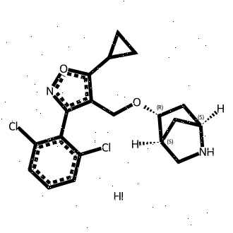 Clc1cccc(Cl)c1-c1noc(C2CC2)c1CO[C@@H]1C[C@@H]2C[C@H]1CN2.I